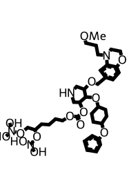 COCCCN1CCOc2ccc(COC3CNCC(OC(=O)OCCCCC(CON(O)O)ON(O)O)C3OC3CCC(Oc4ccccc4)CC3)cc21